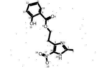 Cc1nc(CCOC(=O)c2ccccc2O)c([N+](=O)[O-])[nH]1